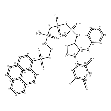 Cc1cn([C@@H]2OCC(OP(=O)(O)OP(=O)(O)OP(=O)(O)OCCS(=O)(=O)c3ccc4ccc5cccc6ccc3c4c56)[C@@H]2Oc2ccccc2)c(=O)[nH]c1=O